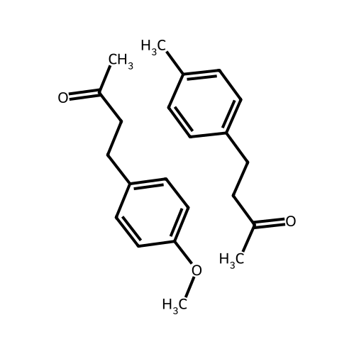 CC(=O)CCc1ccc(C)cc1.COc1ccc(CCC(C)=O)cc1